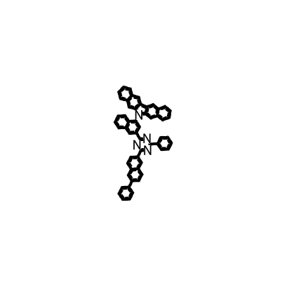 c1ccc(-c2ccc3cc(-c4nc(-c5ccccc5)nc(-c5cc(-n6c7cc8ccccc8cc7c7cc8ccccc8cc76)c6ccccc6c5)n4)ccc3c2)cc1